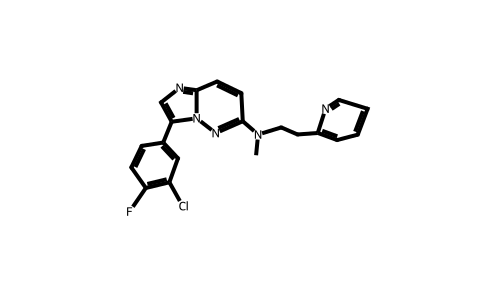 CN(CCc1ccccn1)c1ccc2ncc(-c3ccc(F)c(Cl)c3)n2n1